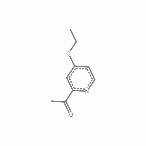 CCOc1ccnc(C(C)=O)c1